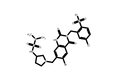 CCS(=O)(=O)c1ccc(Cl)cc1Cn1c(=O)[nH]c2cc(CN3CCC(NS(=O)(=O)N(C)C)C3)c(Br)cc2c1=O